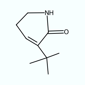 CC(C)(C)C1=CCCNC1=O